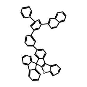 c1ccc(-c2cc(-c3cccc(-c4ccc5c(c4)C4(c6ccccc6-c6ccccc64)c4oc6ccccc6c4-5)c3)cc(-c3ccc4ccccc4c3)c2)cc1